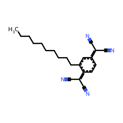 CCCCCCCCCCc1cc(=C(C#N)C#N)ccc1=C(C#N)C#N